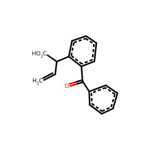 C=CC(C(=O)O)c1ccccc1C(=O)c1ccccc1